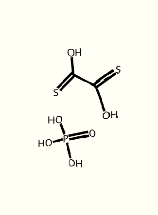 O=P(O)(O)O.OC(=S)C(O)=S